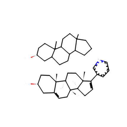 CC12CCCC1C1CCC3C[C@@H](O)CCC3(C)C1CC2.C[C@]12CC[C@H](O)CC1=CC[C@@H]1[C@@H]2CC[C@]2(C)C(c3cccnc3)=CC[C@@H]12